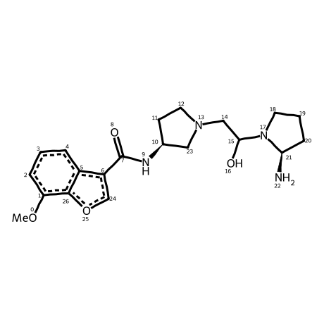 COc1cccc2c(C(=O)N[C@H]3CCN(CC(O)N4CCC[C@H]4N)C3)coc12